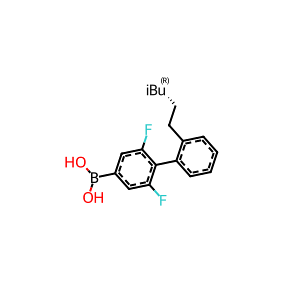 CC[C@@H](C)CCc1ccccc1-c1c(F)cc(B(O)O)cc1F